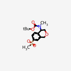 CN(C(=O)OC(C)(C)C)C1COCc2cc(S(C)(=O)=O)ccc21